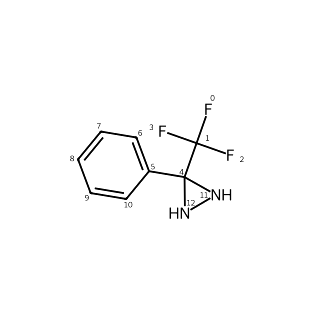 FC(F)(F)C1(c2ccccc2)NN1